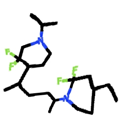 CCC1CCN(C(C)CCC(C)C2CCN(C(C)C)CC2(F)F)C(F)(F)C1